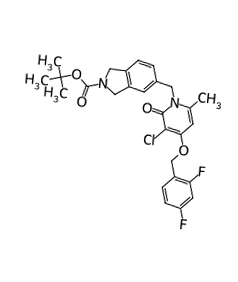 Cc1cc(OCc2ccc(F)cc2F)c(Cl)c(=O)n1Cc1ccc2c(c1)CN(C(=O)OC(C)(C)C)C2